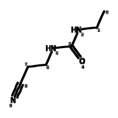 CCNC(=O)NCCC#N